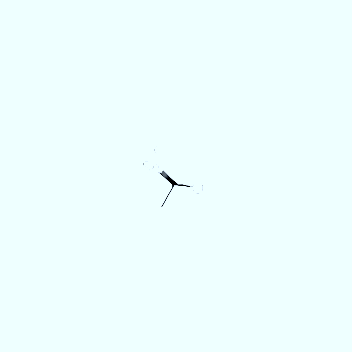 CC([O-])=[Se].[K+]